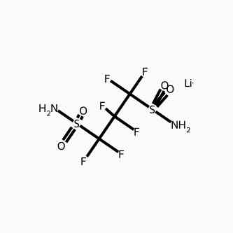 NS(=O)(=O)C(F)(F)C(F)(F)C(F)(F)S(N)(=O)=O.[Li]